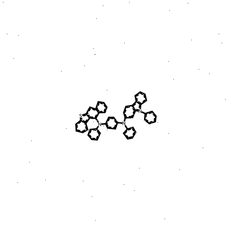 c1ccc(N(c2ccc(N(c3ccccc3)c3c4ccccc4cc4sc5ccccc5c34)cc2)c2ccc3c4ccccc4n(-c4ccccc4)c3c2)cc1